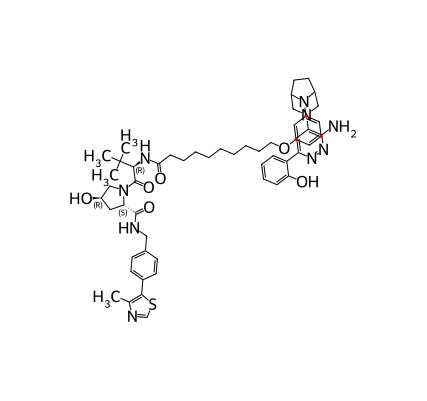 Cc1ncsc1-c1ccc(CNC(=O)[C@@H]2C[C@@H](O)CN2C(=O)[C@H](NC(=O)CCCCCCCCCOc2cccc(N3C4CCC3CN(c3cc(-c5ccccc5O)nnc3N)C4)c2)C(C)(C)C)cc1